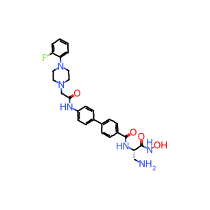 NC[C@H](NC(=O)c1ccc(-c2ccc(NC(=O)CN3CCN(c4ccccc4F)CC3)cc2)cc1)C(=O)NO